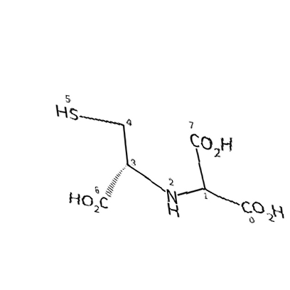 O=C(O)C(N[C@@H](CS)C(=O)O)C(=O)O